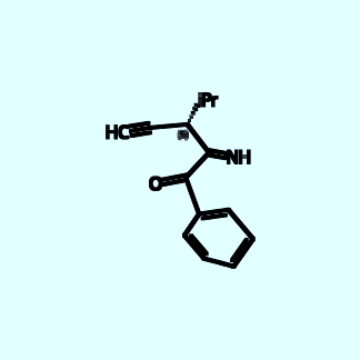 C#C[C@@H](C(=N)C(=O)c1ccccc1)C(C)C